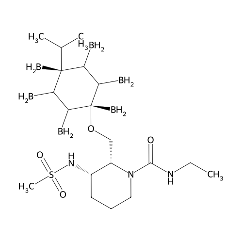 BC1C(B)[C@](B)(C(C)C)C(B)C(B)[C@]1(B)OC[C@H]1[C@@H](NS(C)(=O)=O)CCCN1C(=O)NCC